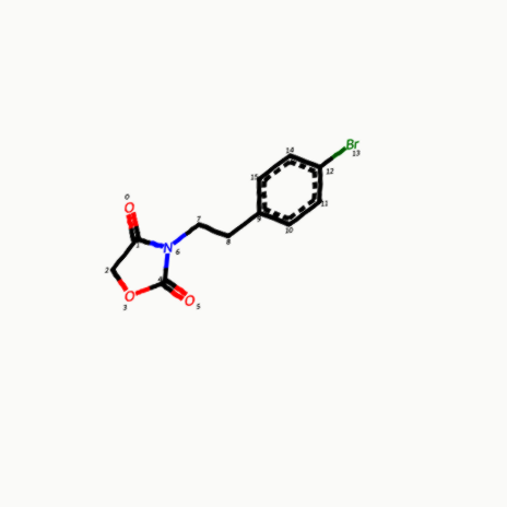 O=C1COC(=O)N1CCc1ccc(Br)cc1